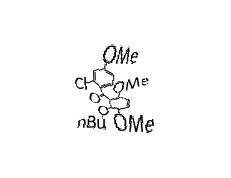 CCCCOc1c(OC)ccc(C)c1C(=O)c1c(Cl)cc(OC)cc1OC